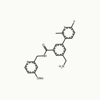 COc1ccnc(CNC(=O)c2cc(CN)cc(-c3ccc(F)nc3C)c2)c1